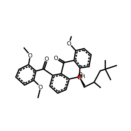 COc1cccc(OC)c1C(=O)c1cccc([PH](=O)CC(C)CC(C)(C)C)c1C(=O)c1c(OC)cccc1OC